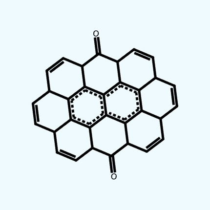 O=C1C2C=CC3C=CC4C=CC5C(=O)C6C=CC7C=CC8C=CC1c1c8c7c6c6c5c4c3c2c16